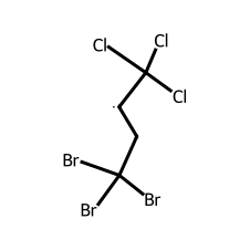 ClC(Cl)(Cl)[CH]CC(Br)(Br)Br